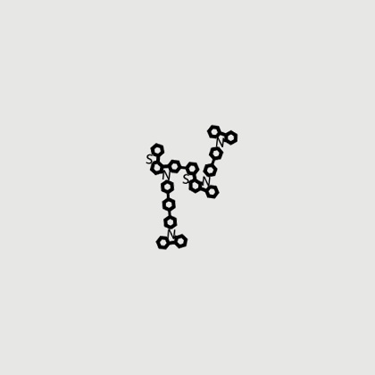 c1ccc2c(c1)sc1ccc3c(c4ccc(-c5cccc6c5sc5ccc7c8ccccc8n(-c8ccc(-c9ccc(-n%10c%11ccccc%11c%11ccccc%11%10)cc9)cc8)c7c56)cc4n3-c3ccc(-c4ccc(-c5ccc(-n6c7ccccc7c7ccccc76)cc5)cc4)cc3)c12